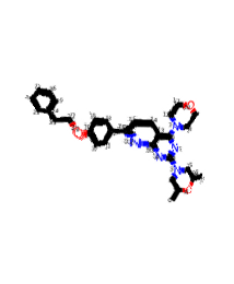 CC1CN(c2nc(N3CCOCC3)c3ccc(-c4ccc(OCCc5ccccc5)cc4)nc3n2)CC(C)O1